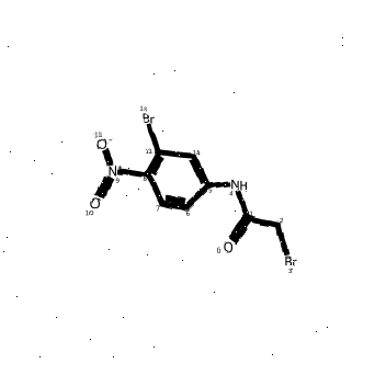 O=C(CBr)Nc1ccc([N+](=O)[O-])c(Br)c1